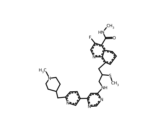 CNC(=O)c1c(F)cnc2c(CC(CNc3cc(-c4ccc(CC5CCN(C)CC5)nc4)ncn3)SC)cccc12